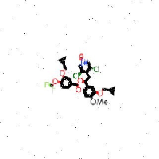 COc1ccc(C(Cc2c(Cl)c[n+]([O-])cc2Cl)OC(=O)c2ccc(OC(F)F)c(OCC3CC3)c2)cc1OCC1CC1